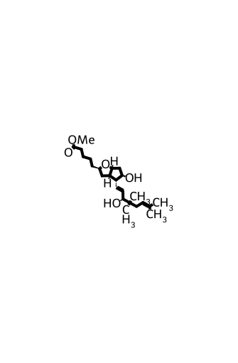 COC(=O)CCCC[C@@H]1C[C@@H]2[C@@H](/C=C/[C@@H](O)C(C)(C)CC=C(C)C)[C@H](O)C[C@@H]2O1